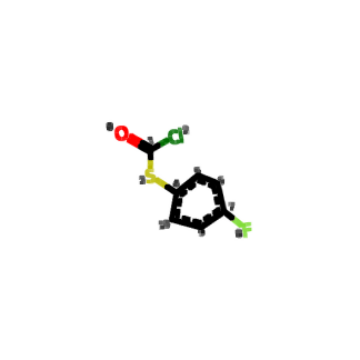 O=C(Cl)Sc1ccc(F)cc1